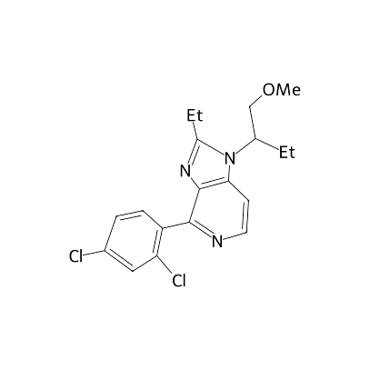 CCc1nc2c(-c3ccc(Cl)cc3Cl)nccc2n1C(CC)COC